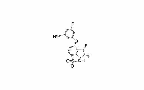 N#Cc1cc(F)cc(Oc2ccc3c4c2C(F)C(F)C4(O)CS3(=O)=O)c1